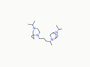 CC(C)N1CCN(CCCC(C)N2CC3CC2CN3C(C)C)C2(CC2)C1